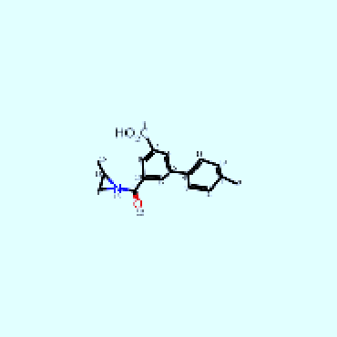 Cc1ccc(-c2cc(C(=O)O)cc(C(=O)N3CC3C)c2)cc1